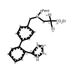 CCCCCN(Cc1ccc(-c2ccccc2-c2nnn[nH]2)cc1)CC(CC)(CC)C(=O)OCC